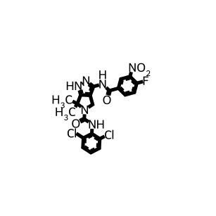 CC1(C)c2[nH]nc(NC(=O)c3ccc(F)c([N+](=O)[O-])c3)c2CN1C(=O)Nc1c(Cl)cccc1Cl